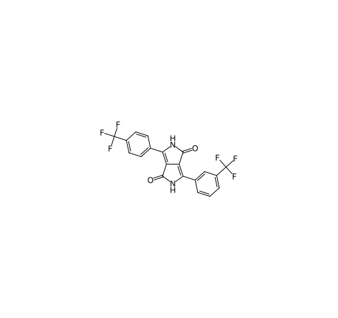 O=C1NC(c2cccc(C(F)(F)F)c2)=C2C(=O)NC(c3ccc(C(F)(F)F)cc3)=C12